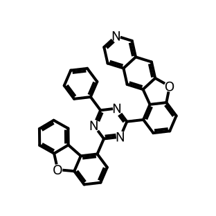 c1ccc(-c2nc(-c3cccc4oc5ccccc5c34)nc(-c3cccc4oc5cc6cnccc6cc5c34)n2)cc1